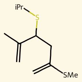 C=C(CC(SC(C)C)C(=C)C)SC